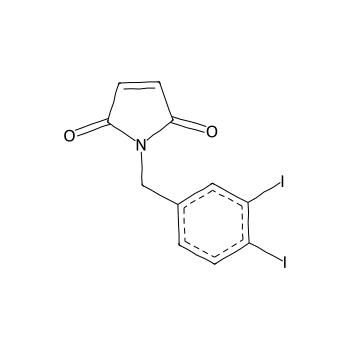 O=C1C=CC(=O)N1Cc1ccc(I)c(I)c1